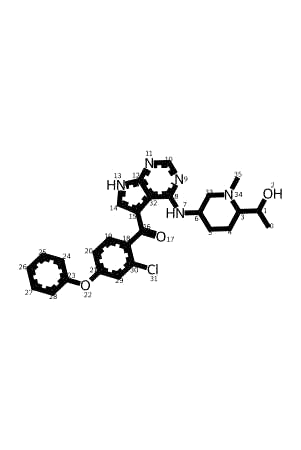 CC(O)C1CCC(Nc2ncnc3[nH]cc(C(=O)c4ccc(Oc5ccccc5)cc4Cl)c23)CN1C